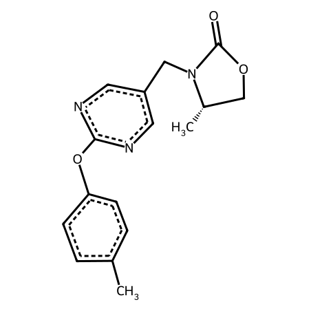 Cc1ccc(Oc2ncc(CN3C(=O)OC[C@@H]3C)cn2)cc1